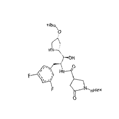 CCCCCCN1CC(C(=O)N[C@@H](Cc2cc(F)cc(F)c2)[C@H](O)[C@H]2C[C@@H](OCCCC)CN2)CC1=O